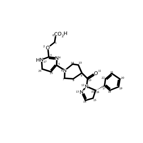 O=C(O)COC1=NC(N2CCC(C(=O)N3N=CC[C@H]3c3ccccc3)CC2)=CCN1